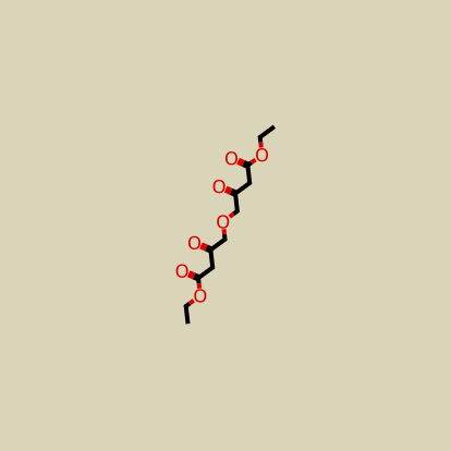 CCOC(=O)CC(=O)COCC(=O)CC(=O)OCC